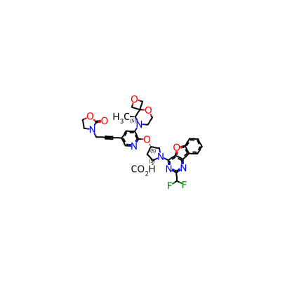 C[C@@H]1N(c2cc(C#CCN3CCOC3=O)cnc2O[C@H]2C[C@@H](C(=O)O)N(c3nc(C(F)F)nc4c3oc3ccccc34)C2)CCOC12COC2